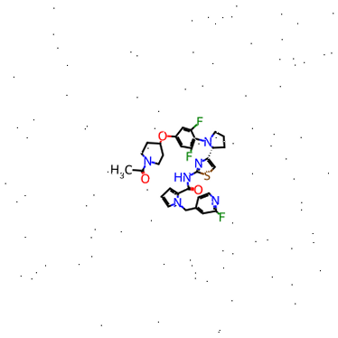 CC(=O)N1CCC(Oc2cc(F)c(N3CCC[C@@H]3c3csc(NC(=O)c4cccn4Cc4ccnc(F)c4)n3)c(F)c2)CC1